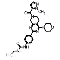 CCNC(=O)Nc1ccc(-c2nc3c(c(N4CCOCC4)n2)CCN(C(=O)c2ccnn2C)C3)cc1